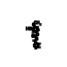 COc1ccc(OC(=O)OCC2CCCS2)cc1O